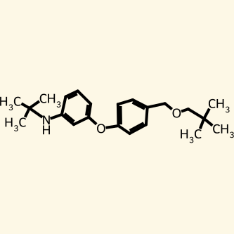 CC(C)(C)COCc1ccc(Oc2cccc(NC(C)(C)C)c2)cc1